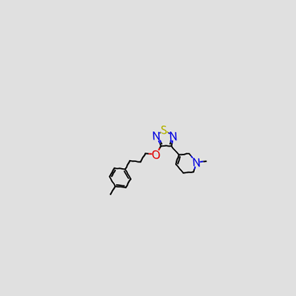 Cc1ccc(CCCOc2nsnc2C2=CCCN(C)C2)cc1